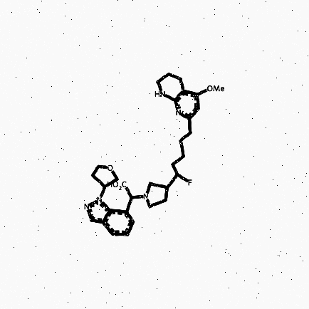 COc1cc(CCCCC(F)C2CCN(C(C(=O)O)c3cccc4cnn(C5CCOC5)c34)C2)nc2c1CCCN2